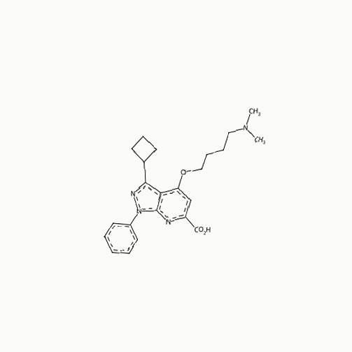 CN(C)CCCCOc1cc(C(=O)O)nc2c1c(C1CCC1)nn2-c1ccccc1